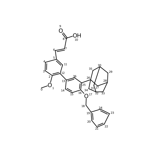 COc1ccc(C=CC(=O)O)cc1-c1ccc(OCc2ccccc2)c(C23CC4CC(CC(C4)C2)C3)c1